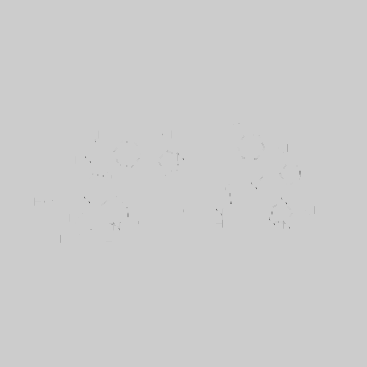 Cc1ncsc1-c1ccc([C@H](C)NC(=O)[C@@H]2C[C@@H](O)CN2C(=O)[C@@H](NC(=O)OCCOCCNC(=O)CC2N=C(c3ccc(Cl)cc3)c3c(sc(C)c3C)-n3c(C)nnc32)C(C)(C)C)cc1